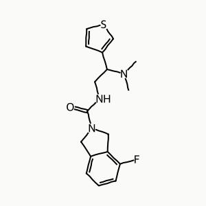 CN(C)C(CNC(=O)N1Cc2cccc(F)c2C1)c1ccsc1